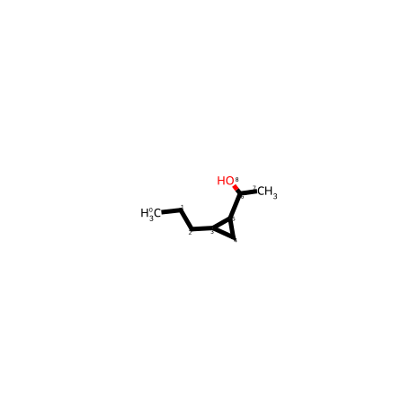 CCCC1CC1C(C)O